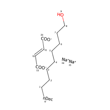 CCCCCCCCCCCCCCCCCCO.O=C([O-])/C=C/C(=O)[O-].[Na+].[Na+]